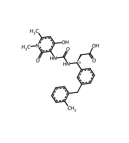 Cc1ccccc1Cc1cccc([C@H](CC(=O)O)NC(=O)Nc2c(O)cc(C)n(C)c2=O)c1